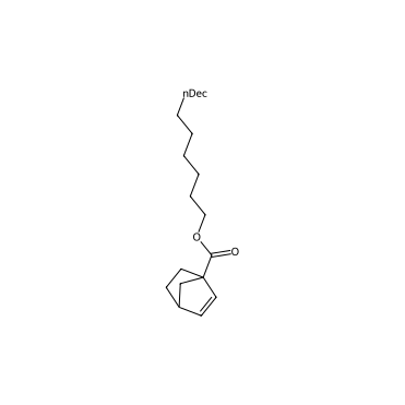 CCCCCCCCCCCCCCCCOC(=O)C12C=CC(CC1)C2